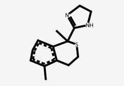 Cc1cccc2c1CCSC2(C)C1=NCCN1